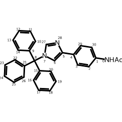 CC(=O)Nc1ccc(-c2cn(C(c3ccccc3)(c3ccccc3)c3ccccc3)cn2)cc1